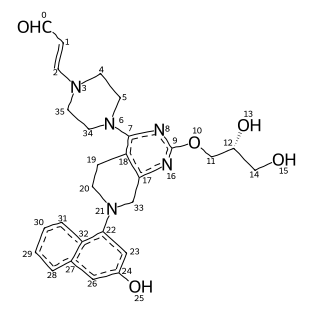 O=CC=CN1CCN(c2nc(OC[C@H](O)CO)nc3c2CCN(c2cc(O)cc4ccccc24)C3)CC1